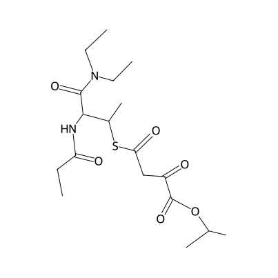 CCC(=O)NC(C(=O)N(CC)CC)C(C)SC(=O)CC(=O)C(=O)OC(C)C